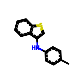 Cc1ccc(Nc2csc3ccccc23)cc1